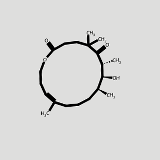 C/C1=C/CCOC(=O)CCC(C)(C)C(=O)[C@H](C)[C@@H](O)[C@@H](C)CCC1